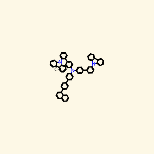 CC12C=CC=CC1N(c1ccccc1-c1ccc(N(c3ccc(-c4ccc(-c5cccc6ccccc56)cc4)cc3)c3ccc(-c4cccc(-n5c6ccccc6c6ccccc65)c4)cc3)cc1)c1ccccc12